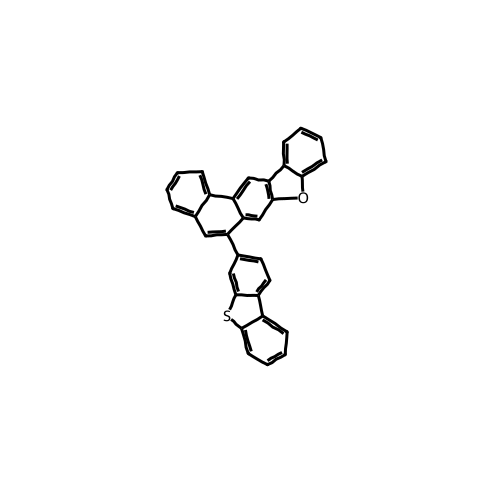 c1ccc2c(c1)cc(-c1ccc3c(c1)sc1ccccc13)c1cc3oc4ccccc4c3cc12